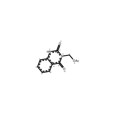 CC(=O)OCn1c(=O)[nH]c2ccccc2c1=O